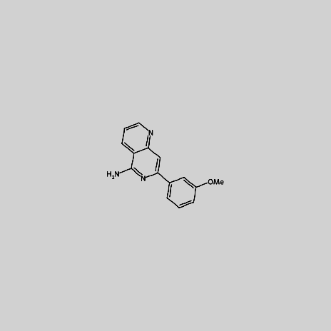 COc1cccc(-c2cc3ncccc3c(N)n2)c1